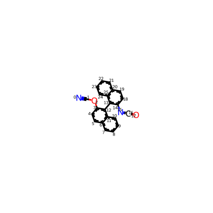 N#COc1ccc2ccccc2c1-c1c(N=C=O)ccc2ccccc12